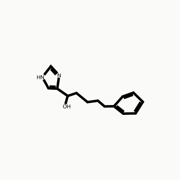 OC(CCCCc1ccccc1)c1c[nH]cn1